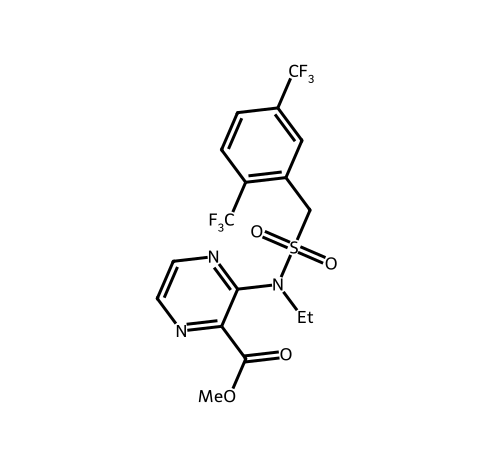 CCN(c1nccnc1C(=O)OC)S(=O)(=O)Cc1cc(C(F)(F)F)ccc1C(F)(F)F